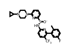 Cc1ccc(F)cc1-c1nc(N[S+]([O-])c2cccc(N3CCN(C4CC4)CC3)n2)ccc1C(F)(F)F